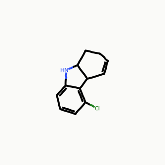 Clc1cccc2c1C1C=CCCC1N2